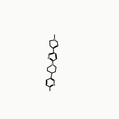 Cc1ccc(C2CCN(c3ccc(C4=CCN(C)CC4)cn3)CC2)cn1